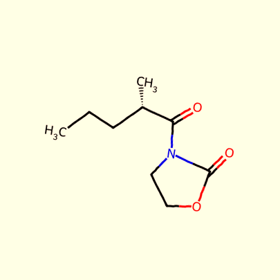 CCC[C@H](C)C(=O)N1CCOC1=O